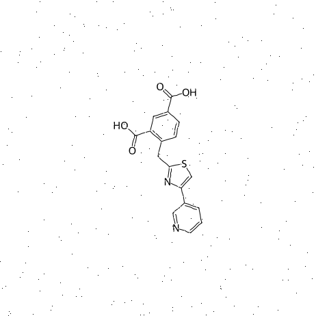 O=C(O)c1ccc(Cc2nc(-c3cccnc3)cs2)c(C(=O)O)c1